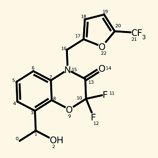 CC(O)c1cccc2c1OC(F)(F)C(=O)N2Cc1ccc(C(F)(F)F)o1